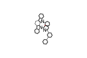 c1ccc(-c2cccc(-c3cccc(-n4c5c(c6ccccc64)CCc4c-5n(-c5ccccc5)c5ccccc45)n3)c2)cc1